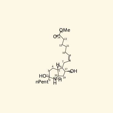 CCCCCC1(O)CC[C@@H]2C(C/C=C\CCCCC(=O)OC)[C@@H](O)C[C@H]2N1